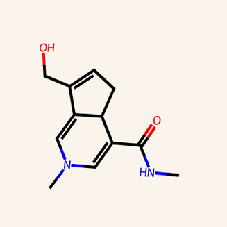 CNC(=O)C1=CN(C)C=C2C(CO)=CCC12